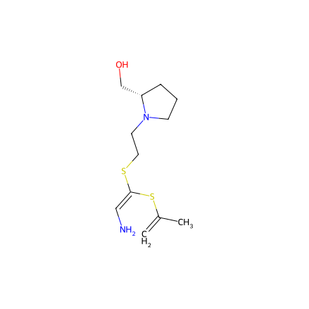 C=C(C)S/C(=C\N)SCCN1CCC[C@H]1CO